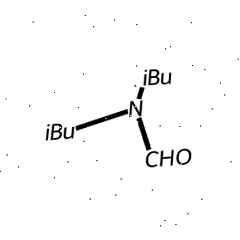 CCC(C)N(C=O)C(C)CC